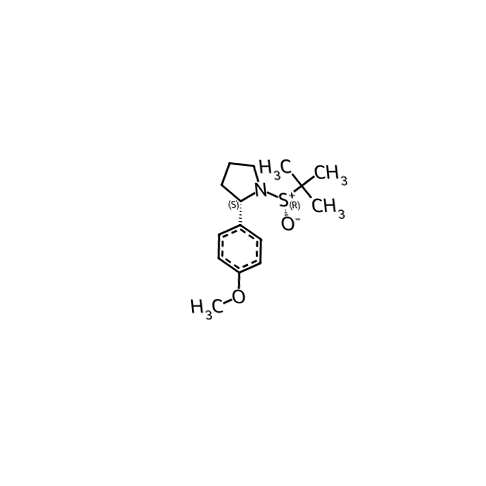 COc1ccc([C@@H]2CCCN2[S@@+]([O-])C(C)(C)C)cc1